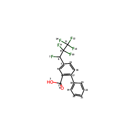 O=C(O)c1cc(C(F)C(F)(F)C(F)(F)F)ccc1-c1ccccc1